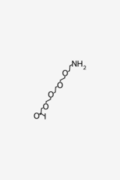 NCCOCCOCCOCCOCC(=O)I